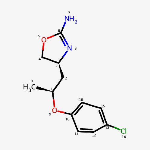 C[C@@H](C[C@H]1COC(N)=N1)Oc1ccc(Cl)cc1